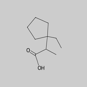 CCC1(C(C)C(=O)O)CCCC1